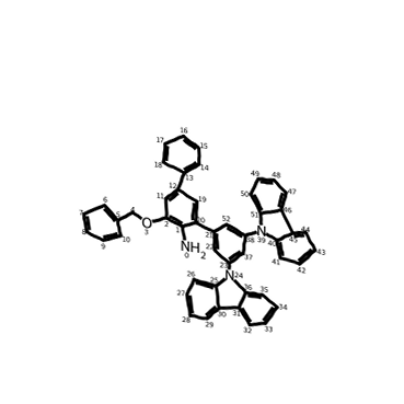 Nc1c(OCc2ccccc2)cc(-c2ccccc2)cc1-c1cc(-n2c3ccccc3c3ccccc32)cc(-n2c3ccccc3c3ccccc32)c1